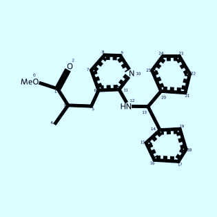 COC(=O)C(C)Cc1cccnc1NC(c1ccccc1)c1ccccc1